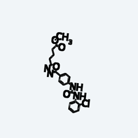 COC(=O)CCCc1nnc(-c2ccc(NC(=O)Nc3ccccc3Cl)cc2)o1